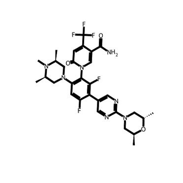 C[C@@H]1CN(c2cc(F)c(-c3cnc(N4C[C@H](C)O[C@@H](C)C4)nc3)c(F)c2-n2cc(C(N)=O)c(C(F)(F)F)cc2=O)C[C@H](C)N1C